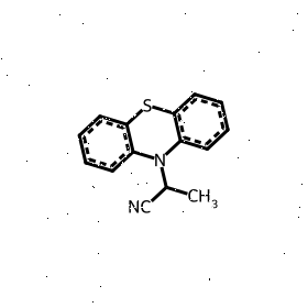 CC(C#N)N1c2ccccc2Sc2ccccc21